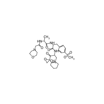 CC(NC(=O)CN1CCOCC1)C(=O)NC(Cc1ccc(S(C)(=O)=O)cc1)C(=O)NC(CC1=CCCCC1)C(=O)C1(C)CO1